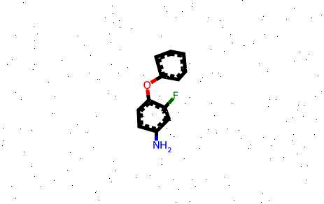 Nc1ccc(Oc2ccccc2)c(F)c1